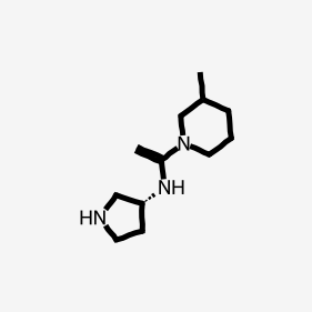 C=C(N[C@@H]1CCNC1)N1CCCC(C)C1